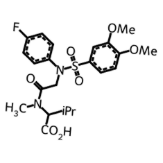 COc1ccc(S(=O)(=O)N(CC(=O)N(C)C(C(=O)O)C(C)C)c2ccc(F)cc2)cc1OC